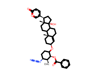 CC(=O)O[C@H]1[C@@H](N=[N+]=[N-])CCC(O[C@@H]2C=C3CCC4C(CC[C@]5(C)[C@@H](c6ccc(=O)oc6)CC[C@]45O)[C@@]3(C)CC2)[C@H]1OC(=O)c1ccccc1